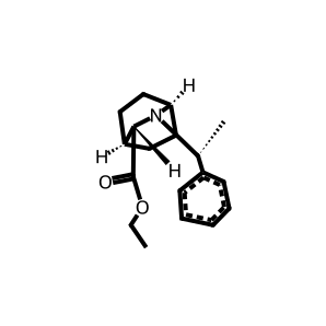 CCOC(=O)[C@@H]1[C@H]2CC[C@H](CC2)N1[C@H](C)c1ccccc1